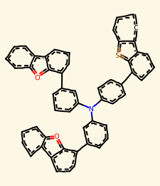 c1cc(-c2cccc3c2oc2ccccc23)cc(N(c2ccc(-c3cccc4c3sc3ccccc34)cc2)c2cccc(-c3cccc4c3oc3ccccc34)c2)c1